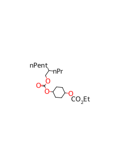 CCCCCC(CCC)COC(=O)OC1CCC(OC(=O)OCC)CC1